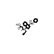 C#CCN(c1ccc(NSc2ccccc2)c2ccccc12)[C@@H](C)CC(=O)O